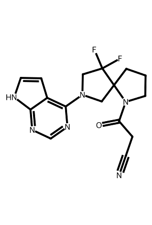 N#CCC(=O)N1CCCC12CN(c1ncnc3[nH]ccc13)CC2(F)F